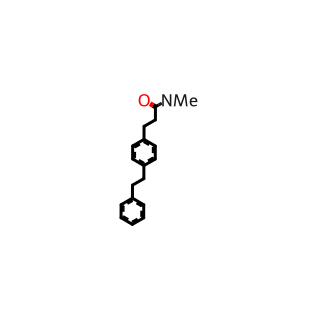 CNC(=O)CCc1ccc(CCc2ccccc2)cc1